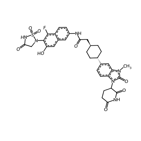 Cn1c(=O)n(C2CCC(=O)NC2=O)c2ccc([C@H]3CC[C@H](CC(=O)Nc4ccc5c(F)c(N6CC(=O)NS6(=O)=O)c(O)cc5c4)CC3)cc21